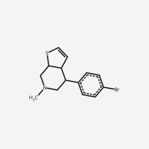 CN1CC2SC=CC2C(c2ccc(Br)cc2)C1